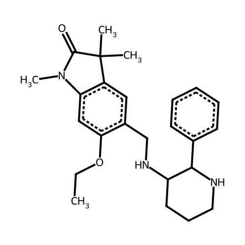 CCOc1cc2c(cc1CNC1CCCNC1c1ccccc1)C(C)(C)C(=O)N2C